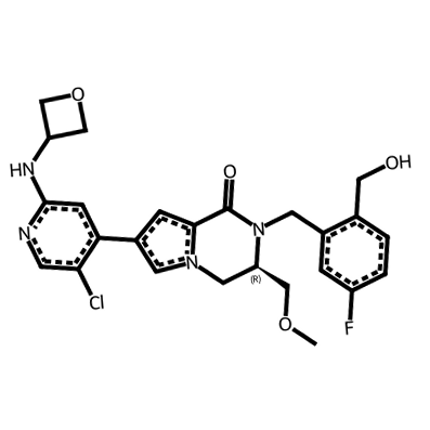 COC[C@H]1Cn2cc(-c3cc(NC4COC4)ncc3Cl)cc2C(=O)N1Cc1cc(F)ccc1CO